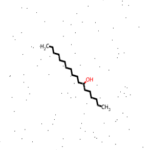 [CH2]CCCCCCCCCCC(O)CCCCCC